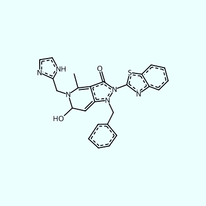 CC1=c2c(n(Cc3ccccc3)n(-c3nc4ccccc4s3)c2=O)=CC(O)N1Cc1ncc[nH]1